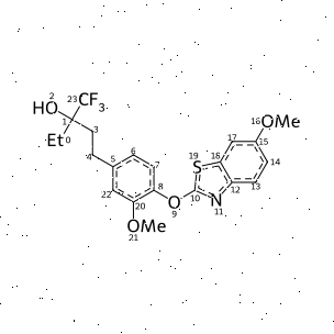 CCC(O)(CCc1ccc(Oc2nc3ccc(OC)cc3s2)c(OC)c1)C(F)(F)F